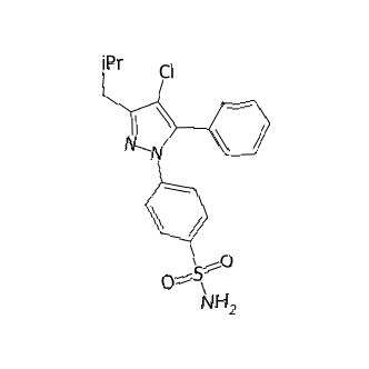 CC(C)Cc1nn(-c2ccc(S(N)(=O)=O)cc2)c(-c2ccccc2)c1Cl